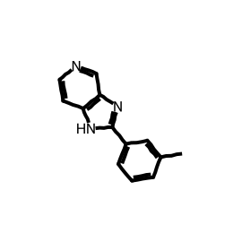 Cc1cccc(-c2nc3cnccc3[nH]2)c1